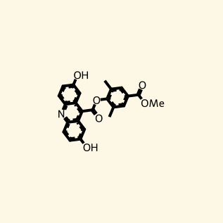 COC(=O)c1cc(C)c(OC(=O)c2c3cc(O)ccc3nc3ccc(O)cc23)c(C)c1